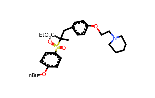 CCCCOc1ccc(S(=O)(=O)C(C)(Cc2ccc(OCCN3CCCCC3)cc2)C(=O)OCC)cc1